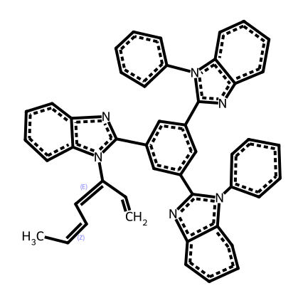 C=C/C(=C\C=C/C)n1c(-c2cc(-c3nc4ccccc4n3-c3ccccc3)cc(-c3nc4ccccc4n3-c3ccccc3)c2)nc2ccccc21